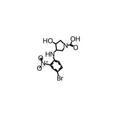 O=C(O)N1CC(O)C(Nc2ccc(Br)cc2[N+](=O)[O-])C1